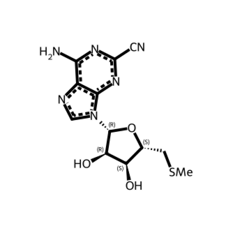 CSC[C@H]1O[C@@H](n2cnc3c(N)nc(C#N)nc32)[C@H](O)[C@@H]1O